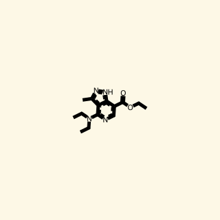 CCOC(=O)c1cnc(N(CC)CC)c2c(C)n[nH]c12